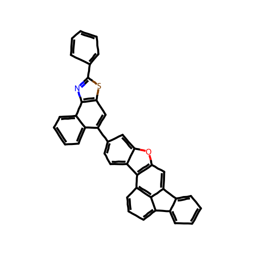 c1ccc(-c2nc3c(cc(-c4ccc5c(c4)oc4cc6c7c(cccc7c45)-c4ccccc4-6)c4ccccc43)s2)cc1